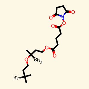 BC(C)(CCOC(=O)CCCC(=O)ON1C(=O)CCC1=O)OCCC(C)(C)C(C)C